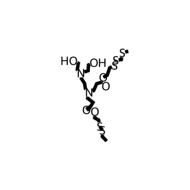 CCSSCCOC(=O)CCN(CCCN(CCO)CCO)CCC(=O)OCCSSCSC